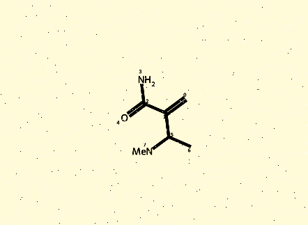 C=C(C(N)=O)C(C)NC